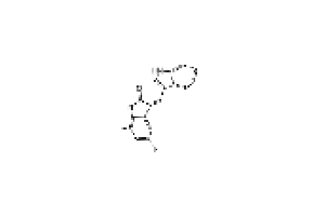 O=C1Nc2c(F)cc(F)cc2C1=Cc1c[nH]c2ccccc12